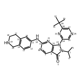 CC(C)n1c(=O)c2cnc(Nc3ccc4c(c3)CCNC4)nc2n1-c1cncc(C(C)(C)C)n1